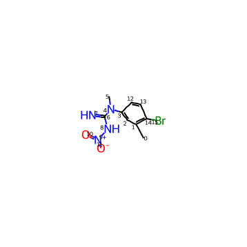 Cc1cc(N(C)C(=N)N[N+](=O)[O-])ccc1Br